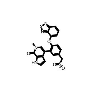 Cn1cc(-c2cc(C[SH](=O)=O)ccc2Oc2cccc3nsnc23)c2cc[nH]c2c1=O